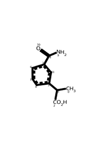 CC(C(=O)O)c1cccc(C(N)=O)c1